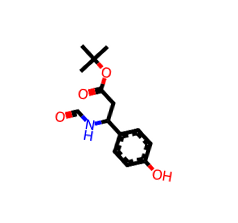 CC(C)(C)OC(=O)CC(NC=O)c1ccc(O)cc1